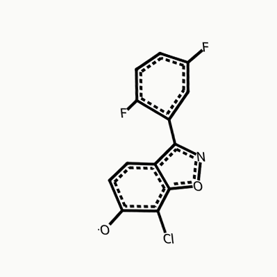 [O]c1ccc2c(-c3cc(F)ccc3F)noc2c1Cl